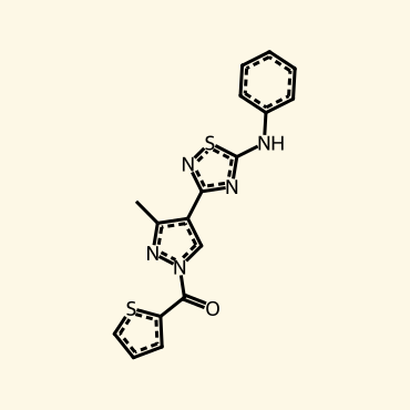 Cc1nn(C(=O)c2cccs2)cc1-c1nsc(Nc2ccccc2)n1